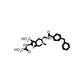 CN1Cc2sc(NC(=O)C(=O)O)c(C(=O)O)c2C[C@H]1CNC(=O)c1ccc(Cc2ccccc2)cc1